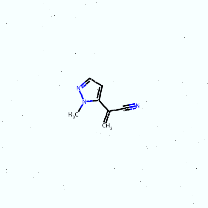 C=C(C#N)c1ccnn1C